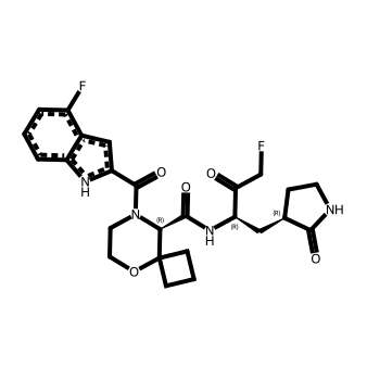 O=C1NCC[C@@H]1C[C@@H](NC(=O)[C@@H]1N(C(=O)c2cc3c(F)cccc3[nH]2)CCOC12CCC2)C(=O)CF